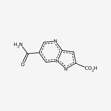 NC(=O)c1cnc2cc(C(=O)O)nn2c1